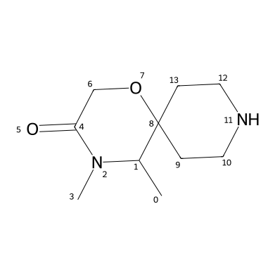 CC1N(C)C(=O)COC12CCNCC2